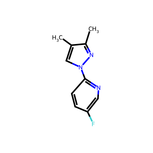 Cc1cn(-c2ccc(F)cn2)nc1C